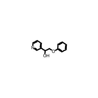 OC(COc1ccccc1)c1cccnc1